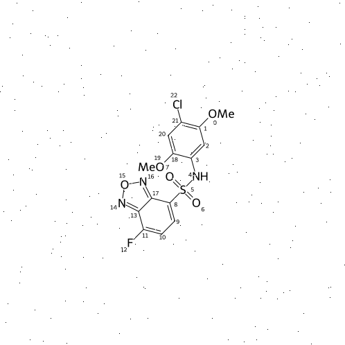 COc1cc(NS(=O)(=O)c2ccc(F)c3nonc23)c(OC)cc1Cl